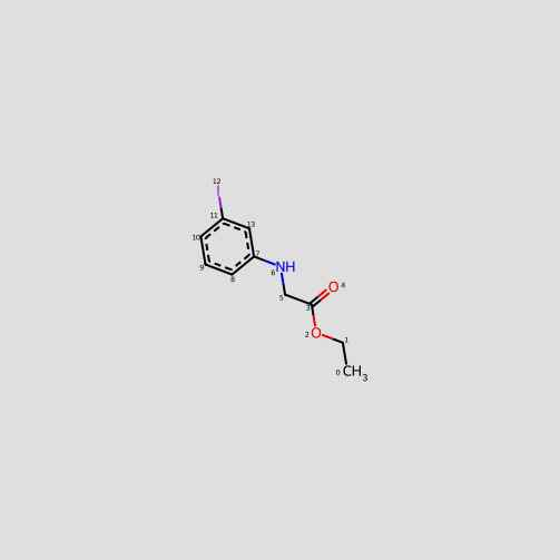 CCOC(=O)CNc1cccc(I)c1